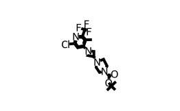 Cc1c(N2CC(N3CCN(C(=O)OC(C)(C)C)CC3)C2)cc(Cl)nc1C(F)(F)F